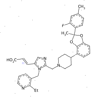 CCc1ncccc1Cn1c(/C=C/C(=O)O)cnc1CN1CCC(c2cccc3c2OC(C)(c2ccc(C)cc2F)O3)CC1